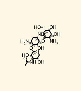 CC(=O)N[C@H]1[C@H](O)[C@H](O[C@@H]2[C@@H](O)[C@H](O[C@H]3O[C@H](CO)[C@@H](O)[C@H](O)[C@H]3N)[C@@H](N)C[C@H]2N)OC[C@@H]1O